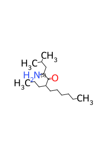 CCCCCCC(CCC)C(=O)[C@@H](N)CC(C)C